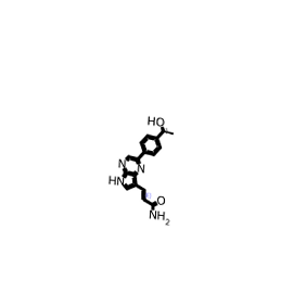 C[C@H](O)c1ccc(-c2cnc3[nH]cc(/C=C/C(N)=O)c3n2)cc1